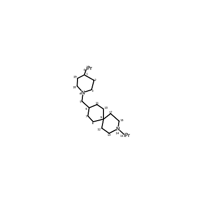 CC(C)C1CCN(CC2CCC3(CC2)CCN(C(C)C)CC3)CC1